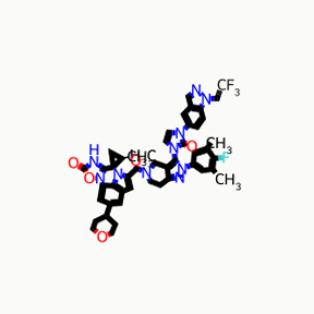 Cc1cc(-n2nc3c(c2-n2ccn(-c4ccc5c(cnn5CC(F)(F)F)c4)c2=O)[C@H](C)N(C(=O)c2cc4cc(C5CCOCC5)ccc4n2[C@@]2(c4noc(=O)[nH]4)C[C@@H]2C)CC3)cc(C)c1F